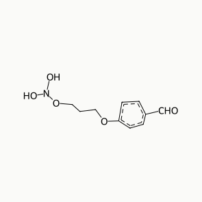 O=Cc1ccc(OCCCON(O)O)cc1